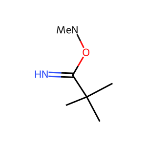 CNOC(=N)C(C)(C)C